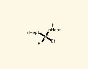 CCCCCCC[N+](CC)(CC)CCCCCCC.[I-]